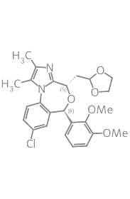 COc1cccc([C@@H]2O[C@@H](CC3OCCO3)c3nc(C)c(C)n3-c3ccc(Cl)cc32)c1OC